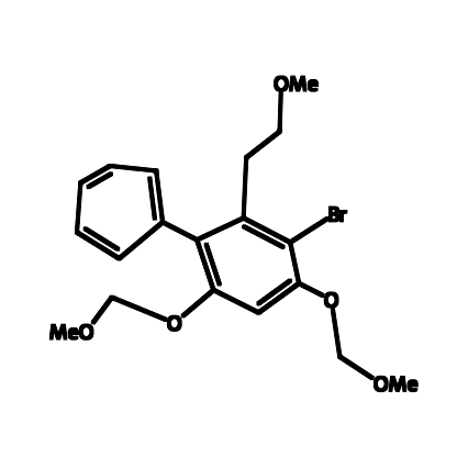 COCCc1c(Br)c(OCOC)cc(OCOC)c1-c1ccccc1